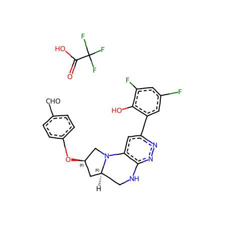 O=C(O)C(F)(F)F.O=Cc1ccc(O[C@@H]2C[C@@H]3CNc4nnc(-c5cc(F)cc(F)c5O)cc4N3C2)cc1